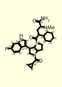 CNC(CC(C(=O)N1CCC2C1C(c1c[nH]c3cc(F)ccc13)CN2C(=O)C1CC1)C1CCCCC1)C(N)=O